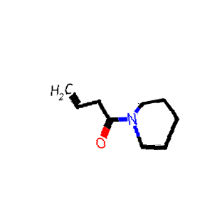 C=CCC(=O)N1[CH]CCCC1